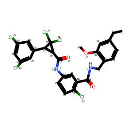 CCc1ccc(CNC(=O)c2cc(NC(=O)C3C(c4cc(Cl)cc(Cl)c4)C3(Cl)Cl)ccc2Cl)c(OC)c1